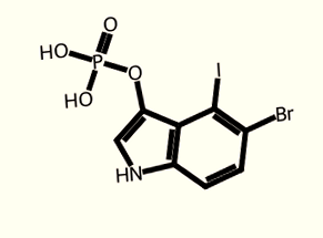 O=P(O)(O)Oc1c[nH]c2ccc(Br)c(I)c12